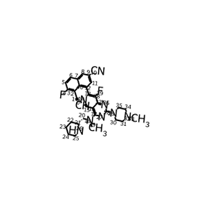 C#Cc1c(F)ccc2cc(C#N)cc(-c3ncc4c(N(C)C[C@H]5CCCCN5)nc(N5CCN(C)CC5)nc4c3F)c12